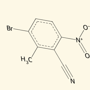 Cc1c(Br)ccc([N+](=O)[O-])c1C#N